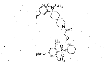 COc1cc(C)c(S(=O)(=O)N2CCCC[C@H]2COCC(=O)N2CCC3(CC2)CCC(c2cccc(F)c2)(N(C)C)CC3)c(C)c1